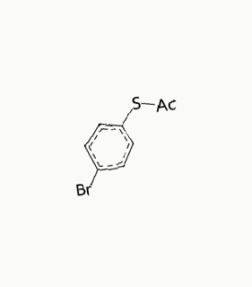 CC(=O)Sc1ccc(Br)cc1